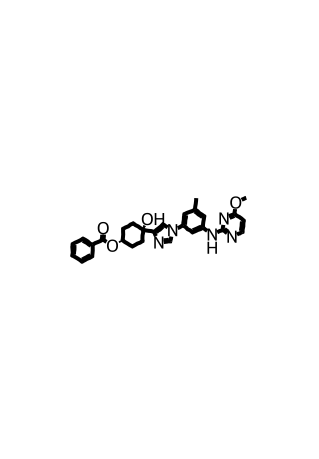 COc1ccnc(Nc2cc(C)cc(-n3cnc([C@]4(O)CC[C@H](OC(=O)c5ccccc5)CC4)c3)c2)n1